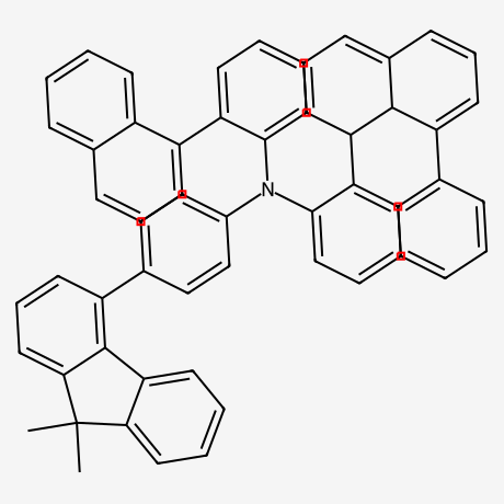 CC1(C)c2ccccc2-c2c(-c3ccc(N(c4ccccc4-c4cccc5ccccc45)c4ccccc4C4C=CC=C5C=CC=C(c6ccccc6)C54)cc3)cccc21